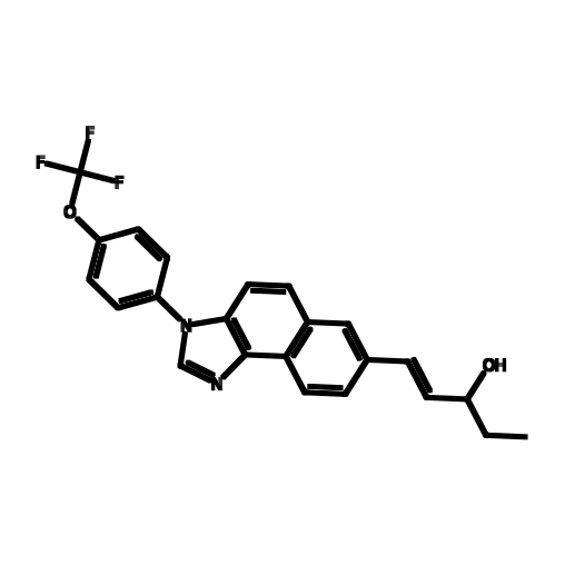 CCC(O)C=Cc1ccc2c(ccc3c2ncn3-c2ccc(OC(F)(F)F)cc2)c1